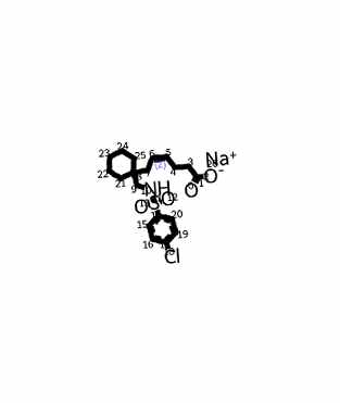 O=C([O-])CC/C=C\CC1(CNS(=O)(=O)c2ccc(Cl)cc2)CCCCC1.[Na+]